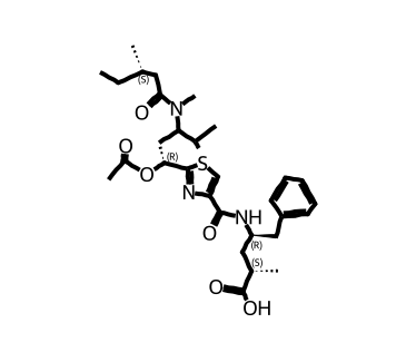 CC[C@H](C)CC(=O)N(C)C(C[C@@H](OC(C)=O)c1nc(C(=O)N[C@@H](Cc2ccccc2)C[C@H](C)C(=O)O)cs1)C(C)C